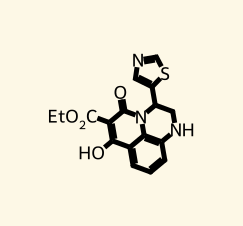 CCOC(=O)c1c(O)c2cccc3c2n(c1=O)C(c1cncs1)CN3